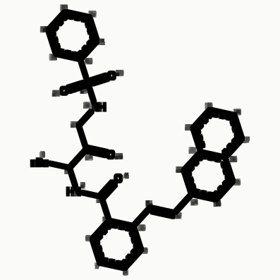 CCCCC(NC(=O)c1ccccc1C=Cc1ccc2ccccc2c1)C(=O)CNS(=O)(=O)c1ccccc1